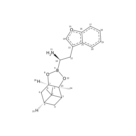 CC1(C)C2C[C@H]1C[C@H]1OB([C@@H](N)Cc3coc4ccccc34)O[C@@]21C